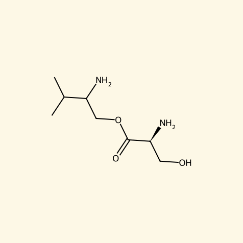 CC(C)C(N)COC(=O)[C@@H](N)CO